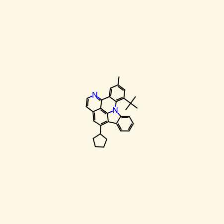 Cc1cc(C(C)(C)C)c2c(c1)c1nccc3cc(C4CCCC4)c4c5ccccc5n2c4c31